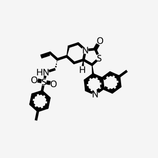 C=C[C@@H](CNS(=O)(=O)c1ccc(C)cc1)[C@H]1CCN2C(=O)S[C@@H](c3ccnc4ccc(C)cc34)[C@@H]2C1